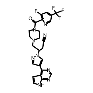 N#CCC(CN1CCN(C(=O)c2ncc(C(F)(F)F)cc2F)CC1)n1cc(-c2ncnc3[nH]ccc23)cn1